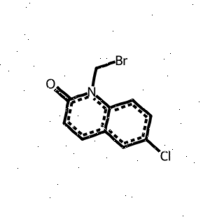 O=c1ccc2cc(Cl)ccc2n1CBr